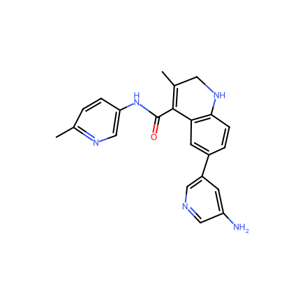 CC1=C(C(=O)Nc2ccc(C)nc2)c2cc(-c3cncc(N)c3)ccc2NC1